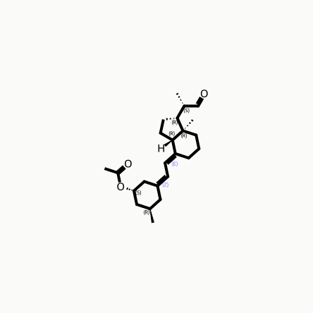 CC(=O)O[C@@H]1C/C(=C\C=C2/CCC[C@]3(C)[C@@H]([C@H](C)C=O)CC[C@@H]23)C[C@@H](C)C1